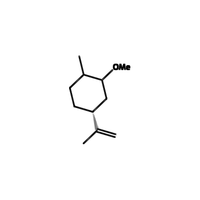 C=C(C)[C@@H]1CCC(C)C(OC)C1